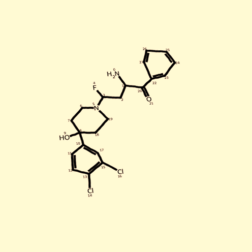 NC(CC(F)N1CCC(O)(c2ccc(Cl)c(Cl)c2)CC1)C(=O)c1ccccc1